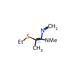 C=N/C(NC)=C(/C)SCC